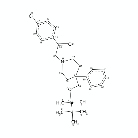 CC(C)(C)[Si](C)(C)OCC1(c2ccccc2)CCN(CC(=O)c2ccc(Cl)cc2)CC1